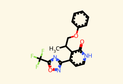 CC(COc1ccccc1)c1c(-c2noc(C(F)(F)F)n2)cc[nH]c1=O